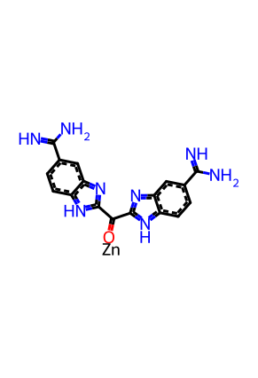 N=C(N)c1ccc2[nH]c(C(=O)c3nc4cc(C(=N)N)ccc4[nH]3)nc2c1.[Zn]